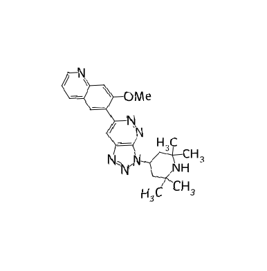 COc1cc2ncccc2cc1-c1cc2nnn(C3CC(C)(C)NC(C)(C)C3)c2nn1